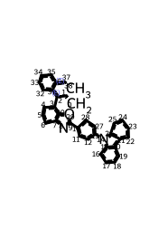 C=C/C(c1cccc2nc(-c3ccc(-n4c5ccccc5c5ccccc54)cc3)oc12)=c1/cccc/c1=C/C